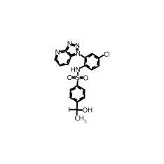 CC(O)(I)c1ccc(S(=O)(=O)Nc2ccc(Cl)cc2-n2nnc3ncccc32)cc1